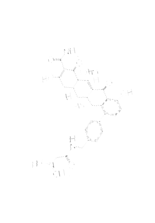 CN(C)CC(=O)NCc1ccc(-c2ccc(O)c3c2C[C@@]2(S)C[C@H]4CC(O)=C(C(N)=O)C(=O)[C@@]4(O)C(O)=C2C3=O)cc1